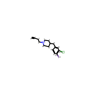 C#CCCN1CCC(Cc2ccc(I)c(Cl)c2)CC1